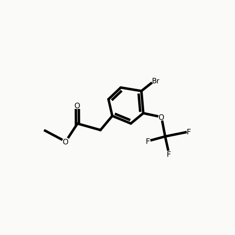 COC(=O)Cc1ccc(Br)c(OC(F)(F)F)c1